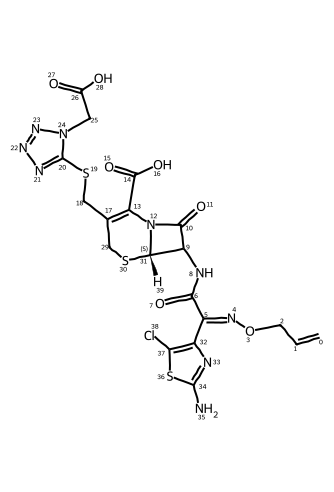 C=CCON=C(C(=O)NC1C(=O)N2C(C(=O)O)=C(CSc3nnnn3CC(=O)O)CS[C@@H]12)c1nc(N)sc1Cl